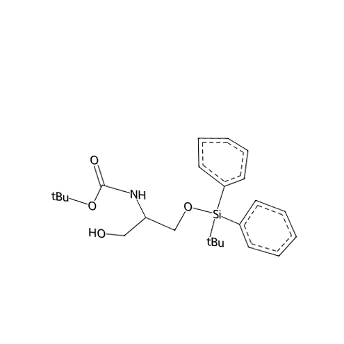 CC(C)(C)OC(=O)NC(CO)CO[Si](c1ccccc1)(c1ccccc1)C(C)(C)C